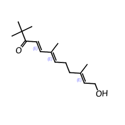 CC(/C=C/C(=O)C(C)(C)C)=C\CC/C(C)=C/CO